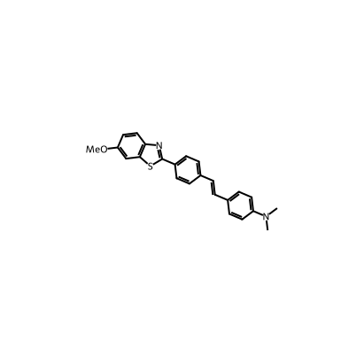 COc1ccc2nc(-c3ccc(C=Cc4ccc(N(C)C)cc4)cc3)sc2c1